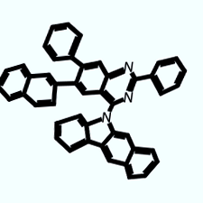 c1ccc(-c2nc(-n3c4ccccc4c4cc5ccccc5cc43)c3cc(-c4ccc5ccccc5c4)c(-c4ccccc4)cc3n2)cc1